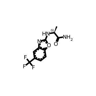 C[C@H](Nc1nc2cc(C(F)(F)F)ccc2o1)C(N)=O